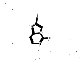 Cc1nccc2nc(I)cn12